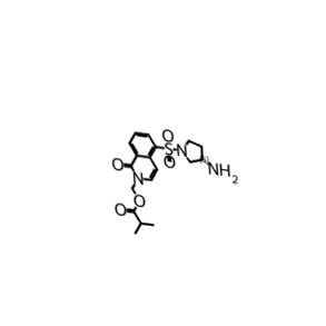 CC(C)C(=O)OCn1ccc2c(S(=O)(=O)N3CC[C@H](N)C3)cccc2c1=O